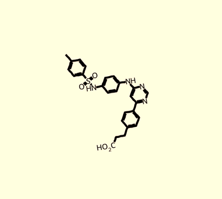 Cc1ccc(S(=O)(=O)Nc2ccc(Nc3cc(-c4ccc(CCC(=O)O)cc4)ncn3)cc2)cc1